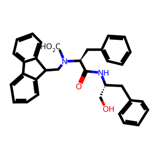 O=C(N[C@@H](CO)Cc1ccccc1)[C@H](Cc1ccccc1)N(CC1c2ccccc2-c2ccccc21)C(=O)O